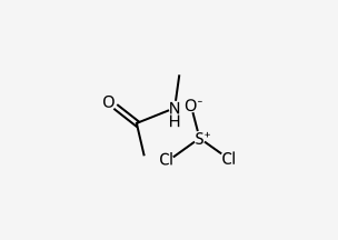 CNC(C)=O.[O-][S+](Cl)Cl